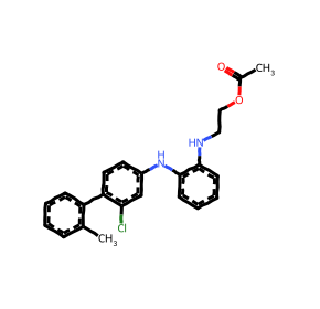 CC(=O)OCCNc1ccccc1Nc1ccc(-c2ccccc2C)c(Cl)c1